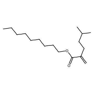 C=C(CCC(C)C)C(=O)OCCCCCCCCC